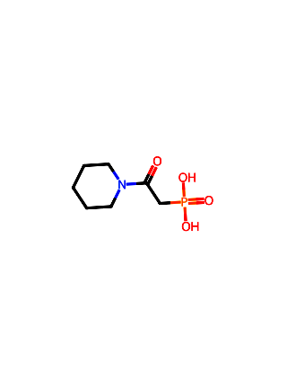 O=C(CP(=O)(O)O)N1CCCCC1